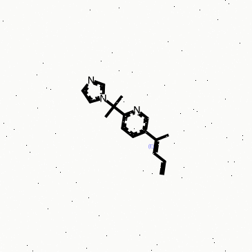 C=C/C=C(\C)c1ccc(C(C)(C)n2ccnc2)nc1